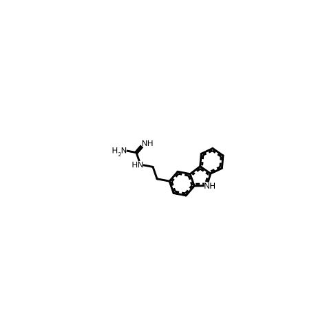 N=C(N)NCCc1ccc2[nH]c3ccccc3c2c1